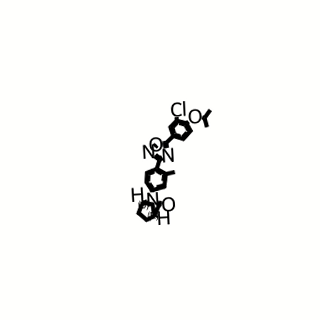 Cc1cc(N2C(=O)[C@@H]3CC[C@H]2C3)ccc1-c1noc(-c2ccc(OC(C)C)c(Cl)c2)n1